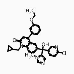 CCOc1cccc(-c2cc(=O)n(CC3CC3)c3ccc(C(O)(c4ccc(Cl)nc4)c4cncn4C)cc23)c1